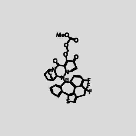 COC(=O)OCOc1c2n(ccc1=O)N([C@@H]1c3ccccc3-c3scc4c3-c3c1ccc(F)c3C(F)(F)C4)C1C3CCC(CC3)N1C2=O